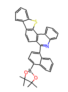 CC1(C)OB(c2ccc(-c3nc4ccccc4c4c3ccc3c5ccccc5sc34)c3ccccc23)OC1(C)C